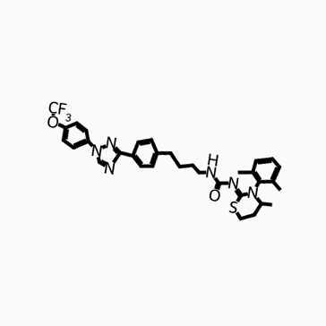 Cc1cccc(C)c1N1/C(=N/C(=O)NCCCCc2ccc(-c3ncn(-c4ccc(OC(F)(F)F)cc4)n3)cc2)SCCC1C